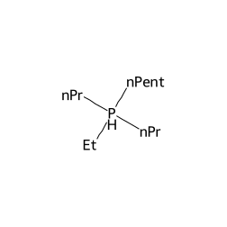 CCCCC[PH](CC)(CCC)CCC